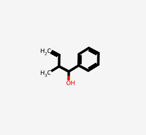 C=CC(C)C(O)c1ccccc1